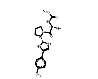 COC(=O)N[C@H](C(=O)N1CCC[C@H]1C1NC=C(c2ccc(C)cc2)N1)C(C)C